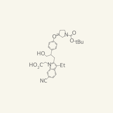 CCc1c(CC(CO)c2ccc(O[C@H]3CCN(C(=O)OC(C)(C)C)C3)cc2)n(CC(=O)O)c2cc(C#N)ccc12